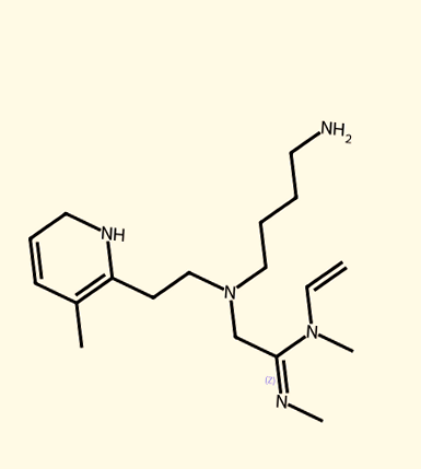 C=CN(C)/C(CN(CCCCN)CCC1=C(C)C=CCN1)=N\C